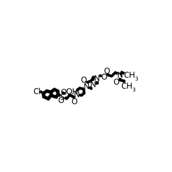 CCC(=O)N(CC)CCC(=O)OCN1C=C2C(=O)N(C3CCN(C(=O)[C@H](O)CS(=O)(=O)c4ccc5cc(Cl)ccc5c4)CC3)CN2C1